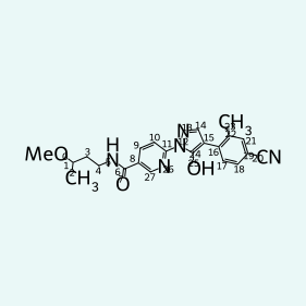 COC(C)CCNC(=O)c1ccc(-n2ncc(-c3ccc(C#N)cc3C)c2O)nc1